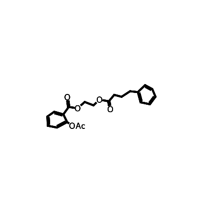 CC(=O)Oc1ccccc1C(=O)OCCOC(=O)CCCc1ccccc1